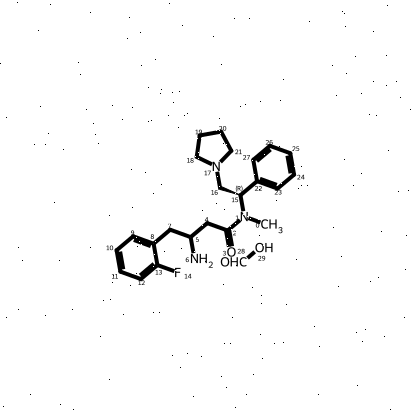 CN(C(=O)CC(N)Cc1ccccc1F)[C@@H](CN1CCCC1)c1ccccc1.O=CO